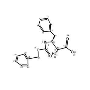 O=C(N[C@@H](Cc1ccccc1)[C@H](O)C(=O)O)OCc1ccccc1